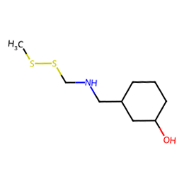 CSSCNCC1CCCC(O)C1